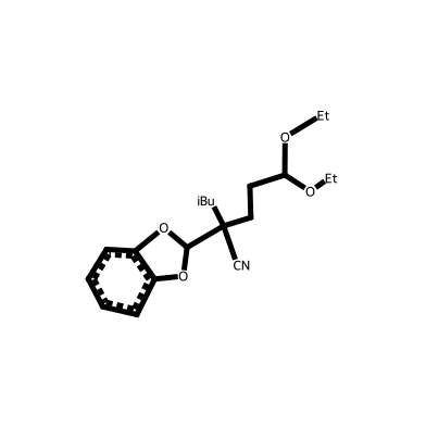 CCOC(CCC(C#N)(C(C)CC)C1Oc2ccccc2O1)OCC